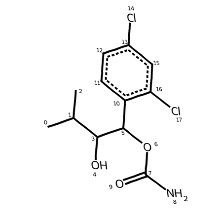 CC(C)C(O)C(OC(N)=O)c1ccc(Cl)cc1Cl